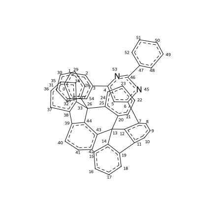 c1ccc(-c2cc(-c3cccc4c3C3(c5ccccc5-4)c4ccccc4C4(c5ccccc5)c5ccccc5-c5cccc3c54)nc(-c3ccccc3)n2)cc1